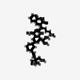 CCCCN(C(=O)Nc1c(C(C)C)cc(-c2cccc(C#CC(N)(CC)CC)c2)cc1C(C)C)c1cc2cccnc2[nH]c1=O